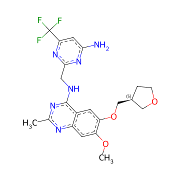 COc1cc2nc(C)nc(NCc3nc(N)cc(C(F)(F)F)n3)c2cc1OC[C@H]1CCOC1